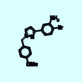 COc1ccc(Cn2ccc(-c3ccc(Br)c(N)c3)n2)cc1